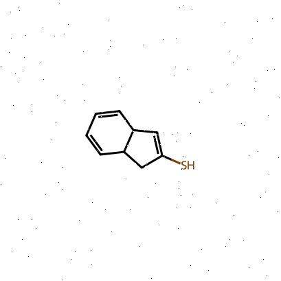 SC1=CC2C=CC=CC2C1